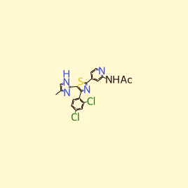 CC(=O)Nc1cc(-c2nc(-c3ccc(Cl)cc3Cl)c(-c3nc(C)c[nH]3)s2)ccn1